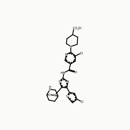 CCOC(=O)C1CCN(c2ncc(C(=O)Nc3nc(-c4cc(Cl)cs4)c(N4CC5CCC4CN5)s3)cc2Cl)CC1